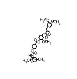 COc1ccc(C[C@H]2COC(=O)[C@@H]2Cc2ccc(OC(=O)C3CCC(OC(=O)NC45CC6CC(C)(CC(C)(C6)C4)C5)CC3)c(OC)c2)cc1OC